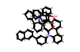 c1cc(-c2ccc3ccccc3c2)cc(N(c2ccc(-c3ccccc3-n3c4ccccc4c4ccccc43)cc2)c2ccccc2-c2ccc3oc4cc5ccccc5cc4c3c2)c1